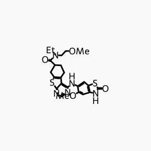 CCN(CCOC)C(=O)C1CCc2c(sc3ncnc(Nc4cc5sc(=O)[nH]c5cc4OC)c23)C1